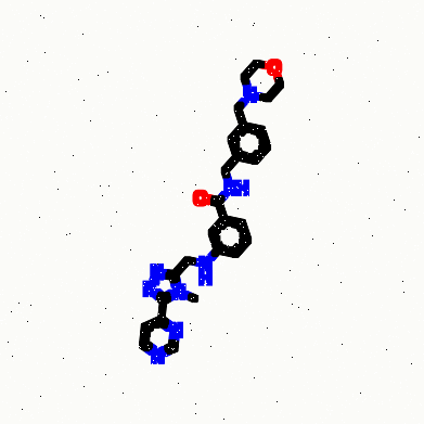 Cn1c(CNc2cccc(C(=O)NCc3cccc(CN4CCOCC4)c3)c2)nnc1-c1ccncn1